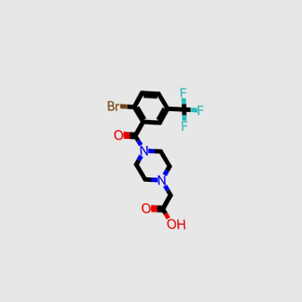 O=C(O)CN1CCN(C(=O)c2cc(C(F)(F)F)ccc2Br)CC1